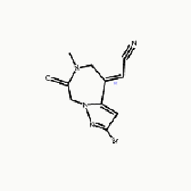 CN1C/C(=C\C#N)c2cc(Br)nn2CC1=O